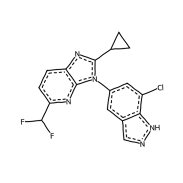 FC(F)c1ccc2nc(C3CC3)n(-c3cc(Cl)c4[nH]ncc4c3)c2n1